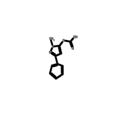 Cn1nc(-c2ccccc2)cc1OC(=O)O